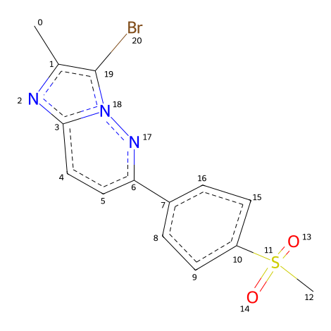 Cc1nc2ccc(-c3ccc(S(C)(=O)=O)cc3)nn2c1Br